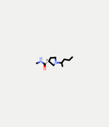 CCCC(C)N1CC[C@@H](C(=O)NC)C1